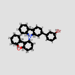 Brc1cccc(-c2ccc3c4ccccc4n(-c4cccc5oc6ccccc6c45)c3c2)c1